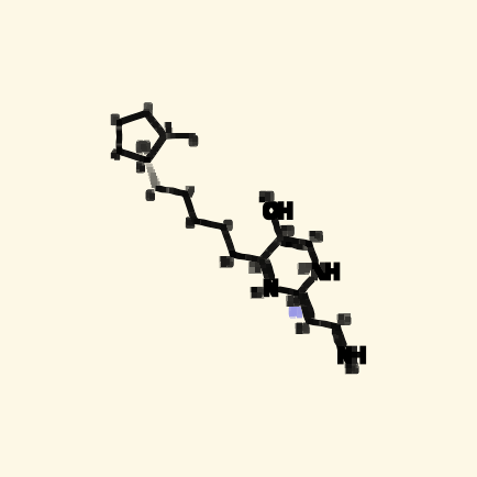 CC1CCC[C@H]1CCCCCC1=N/C(=C/C=N)NC=C1O